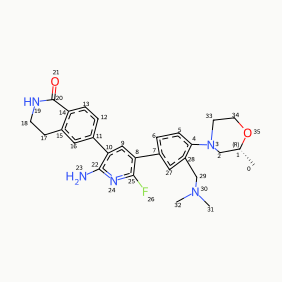 C[C@@H]1CN(c2ccc(-c3cc(-c4ccc5c(c4)CCNC5=O)c(N)nc3F)cc2CN(C)C)CCO1